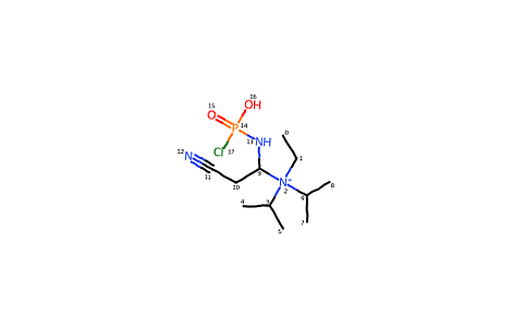 CC[N+](C(C)C)(C(C)C)C(CC#N)NP(=O)(O)Cl